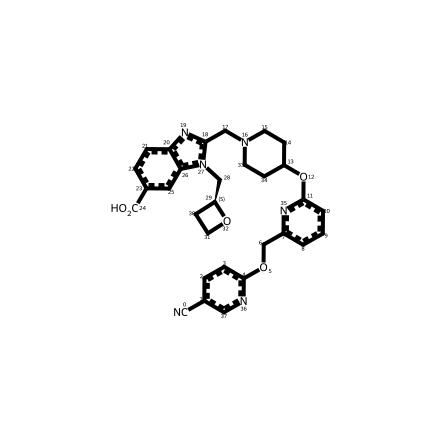 N#Cc1ccc(OCc2cccc(OC3CCN(Cc4nc5ccc(C(=O)O)cc5n4C[C@@H]4CCO4)CC3)n2)nc1